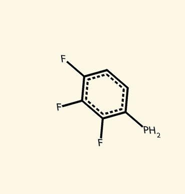 Fc1ccc(P)c(F)c1F